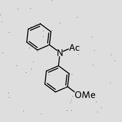 COc1cccc(N(C(C)=O)c2ccccc2)c1